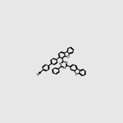 N#Cc1ccc(-c2ccc(-c3ccc4c(oc5ccccc54)c3-c3nc(-c4ccccc4)nc(-c4ccc5c(c4)sc4ccccc45)n3)cc2)cc1